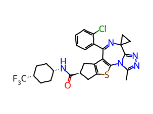 Cc1nnc2n1-c1sc3c(c1C(c1ccccc1Cl)=NC21CC1)C[C@H](C(=O)N[C@H]1CC[C@@H](C(F)(F)F)CC1)C3